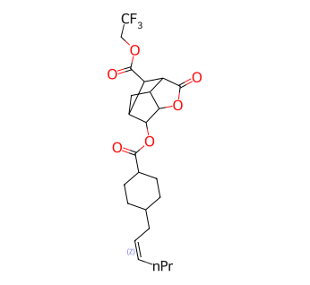 CCC/C=C\CC1CCC(C(=O)OC2C3CC4C2OC(=O)C4C3C(=O)OCC(F)(F)F)CC1